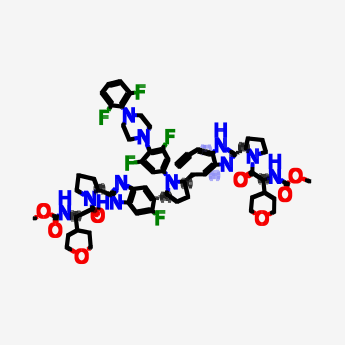 C#C/C=c1/[nH]c([C@@H]2CCCN2C(=O)[C@@H](NC(=O)OC)C2CCOCC2)n/c1=C/C[C@H]1CC[C@H](c2cc3nc([C@@H]4CCCN4C(=O)[C@@H](NC(=O)OC)C4CCOCC4)[nH]c3cc2F)N1c1cc(F)c(N2CCN(c3c(F)cccc3F)CC2)c(F)c1